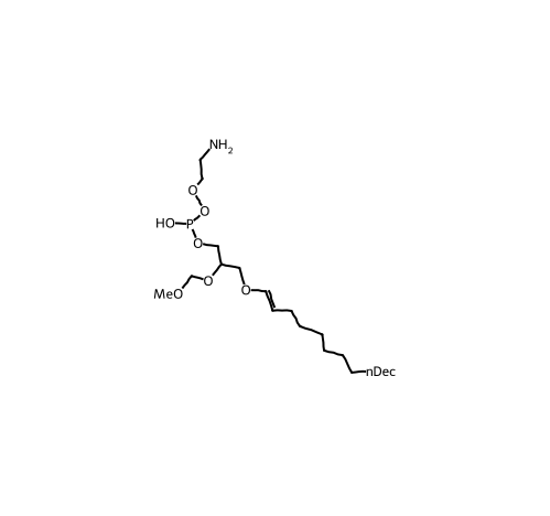 CCCCCCCCCCCCCCCCC=COCC(COP(O)OOCCN)OCOC